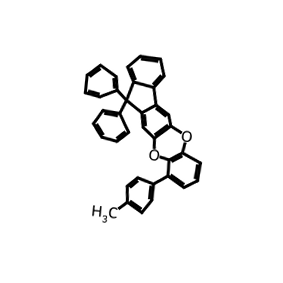 Cc1ccc(-c2cccc3c2Oc2cc4c(cc2O3)-c2ccccc2C4(c2ccccc2)c2ccccc2)cc1